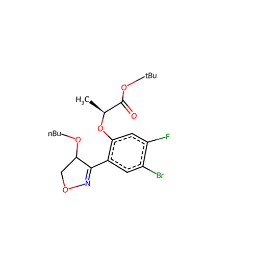 CCCCOC1CON=C1c1cc(Br)c(F)cc1O[C@@H](C)C(=O)OC(C)(C)C